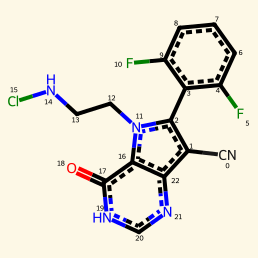 N#Cc1c(-c2c(F)cccc2F)n(CCNCl)c2c(=O)[nH]cnc12